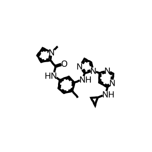 Cc1ccc(NC(=O)c2cccn2C)cc1Nc1nccn1-c1cc(NC2CC2)ncn1